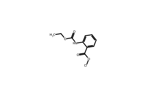 CCOC(=O)Nc1ccccc1C(=O)OCl